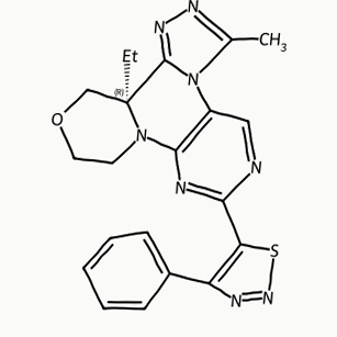 CC[C@@]12COCCN1c1nc(-c3snnc3-c3ccccc3)ncc1-n1c(C)nnc12